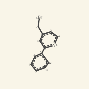 BrCc1ccnc(-c2ccccc2)c1